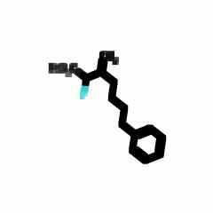 C=C(CCCCc1ccccc1)C(F)C(=O)OCC